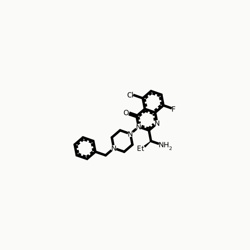 CC[C@H](N)c1nc2c(F)ccc(Cl)c2c(=O)n1N1CCN(Cc2ccccc2)CC1